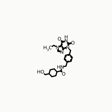 CCn1cnc2c1c(=O)[nH]c(=O)n2Cc1ccc(CNC(=O)C2CCC(CO)CC2)cc1